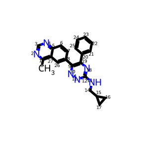 Cc1ncnc2ccc(-c3nnc(NCC4CC4)nc3-c3ccccc3)cc12